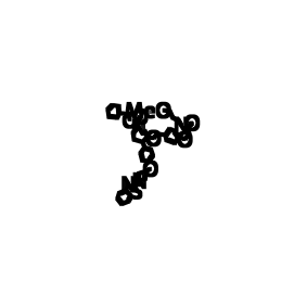 COCCCN1C(=O)COc2ccc(COC3CN(C(=O)OCc4ccccc4)CCC3c3ccc(OC4CN(c5nc6ccccc6s5)C4)cc3)cc21